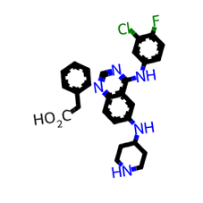 Fc1ccc(Nc2ncnc3ccc(NC4CCNCC4)cc23)cc1Cl.O=C(O)Cc1ccccc1